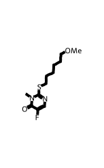 COCCCCCCSc1ncc(F)c(=O)n1C